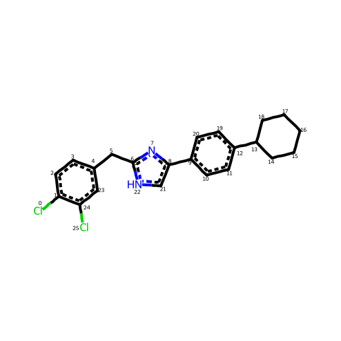 Clc1ccc(Cc2nc(-c3ccc(C4CCCCC4)cc3)c[nH]2)cc1Cl